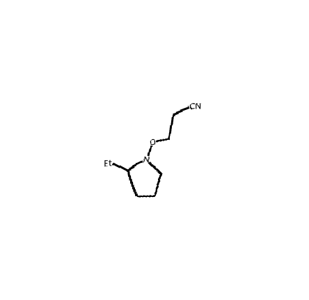 CCC1CCCN1OCCC#N